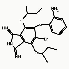 CCC(C)Oc1c(Br)c(Sc2ccccc2N)c(OC(C)CC)c2c1C(=N)NC2=N